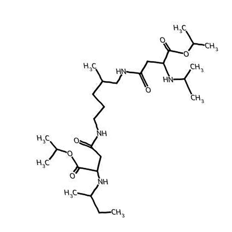 CCC(C)NC(CC(=O)NCCCC(C)CNC(=O)CC(NC(C)C)C(=O)OC(C)C)C(=O)OC(C)C